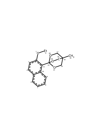 CCOc1ccc2ccccc2c1C12OCC(C)(CO1)CO2